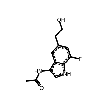 CC(=O)Nc1c[nH]c2c(F)cc(CCO)cc12